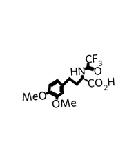 COc1ccc(CC[C@@H](NC(=O)C(F)(F)F)C(=O)O)cc1OC